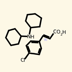 C1CCC(NC2CCCCC2)CC1.O=C(O)/C=C/c1ccc(Cl)cc1